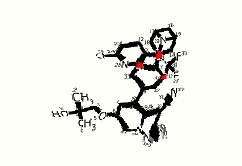 CC(C)(O)COc1cc(-c2ccc(N3CC4CC(C3)N4[C@@H](c3ccc(Cl)nc3)C(F)(F)F)nc2)c2c(C#N)cnn2c1